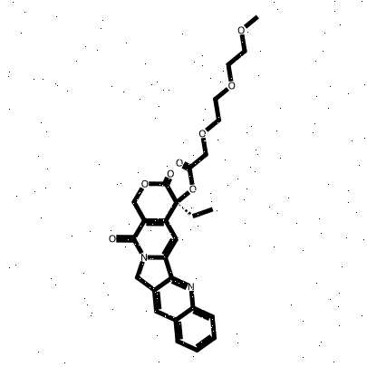 CC[C@@]1(OC(=O)COCCOCCOC)C(=O)OCc2c1cc1n(c2=O)Cc2cc3ccccc3nc2-1